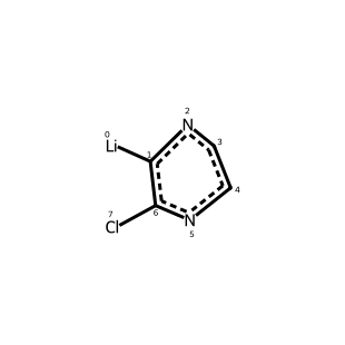 [Li][c]1nccnc1Cl